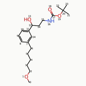 COCCCCCc1cccc(C(O)CCNC(=O)OC(C)(C)C)c1